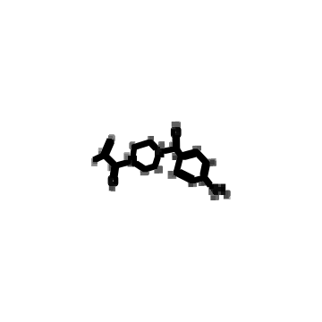 C=C(C)C(=O)N1CCN(C(=O)c2ccc(N)cc2)CC1